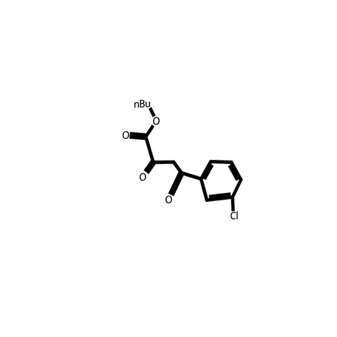 CCCCOC(=O)C(=O)CC(=O)c1cccc(Cl)c1